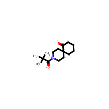 CC(C)(C)C(=O)N1CCC2(CCCCC2=O)CC1